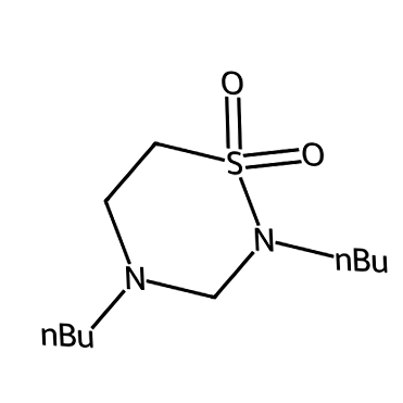 CCCCN1CCS(=O)(=O)N(CCCC)C1